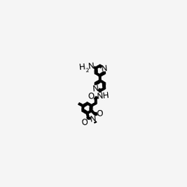 Cc1cc(CC(=O)Nc2ccc(-c3cncc(N)c3)cn2)c2c(c1)C(=O)N(C)C2=O